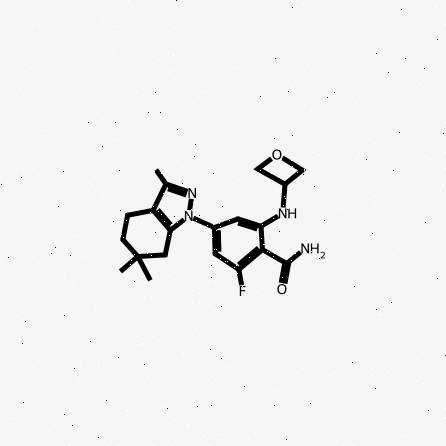 Cc1nn(-c2cc(F)c(C(N)=O)c(NC3COC3)c2)c2c1CCC(C)(C)C2